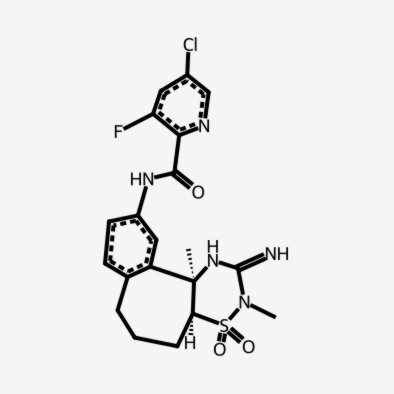 CN1C(=N)N[C@]2(C)c3cc(NC(=O)c4ncc(Cl)cc4F)ccc3CCC[C@@H]2S1(=O)=O